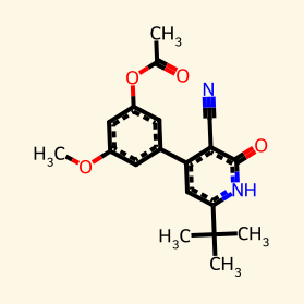 COc1cc(OC(C)=O)cc(-c2cc(C(C)(C)C)[nH]c(=O)c2C#N)c1